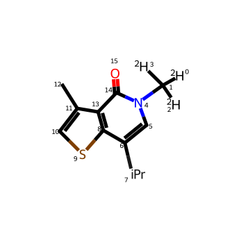 [2H]C([2H])([2H])n1cc(C(C)C)c2scc(C)c2c1=O